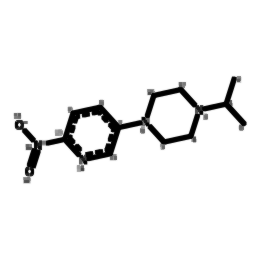 CC(C)N1CCN(c2ccc([N+](=O)[O-])nc2)CC1